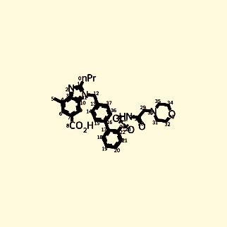 CCCc1nc2c(C)cc(C(=O)O)cc2n1Cc1ccc(-c2ccccc2S(=O)(=O)NC(=O)CN2CCOCC2)cc1